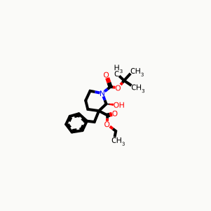 CCOC(=O)C1(Cc2ccccc2)CCCN(C(=O)OC(C)(C)C)[C@H]1O